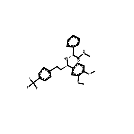 CNC(=O)[C@H](N[C@H](CCc1ccc(C(F)(F)F)cc1)c1ccc(OC)c(OC)c1)c1ccccc1